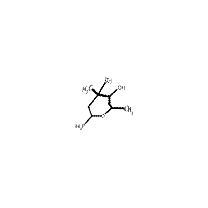 CC1OC(P)CC(C)(O)C1O